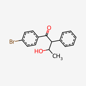 CC(O)C(C(=O)c1ccc(Br)cc1)c1ccccc1